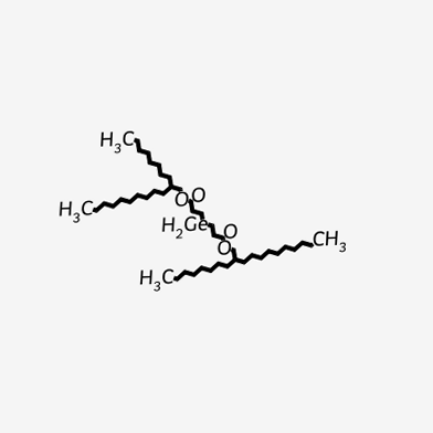 CCCCCCCCCCC(CCCCCCCC)COC(=O)C[CH2][GeH2][CH2]CC(=O)OCC(CCCCCCCC)CCCCCCCCCC